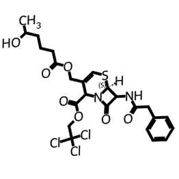 CC(O)CCCC(=O)OCC1=CS[C@H]2C(NC(=O)Cc3ccccc3)C(=O)N2C1C(=O)OCC(Cl)(Cl)Cl